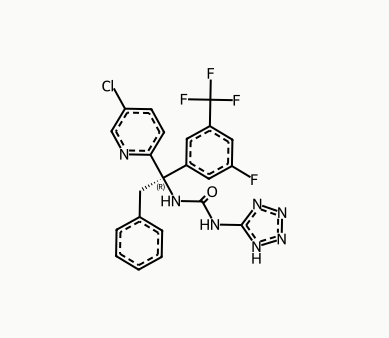 O=C(Nc1nnn[nH]1)N[C@](Cc1ccccc1)(c1cc(F)cc(C(F)(F)F)c1)c1ccc(Cl)cn1